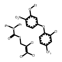 CC(C)N(C(=O)SCC(Cl)=C(Cl)Cl)C(C)C.CCOc1cc(Oc2ccc(C(F)(F)F)cc2Cl)ccc1[N+](=O)[O-]